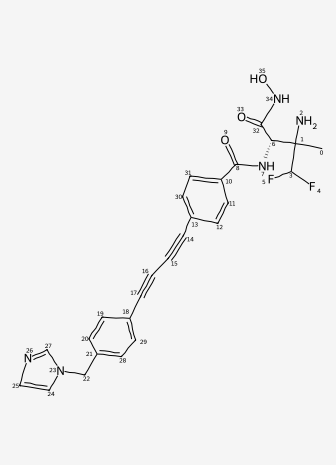 CC(N)(C(F)F)[C@H](NC(=O)c1ccc(C#CC#Cc2ccc(Cn3ccnc3)cc2)cc1)C(=O)NO